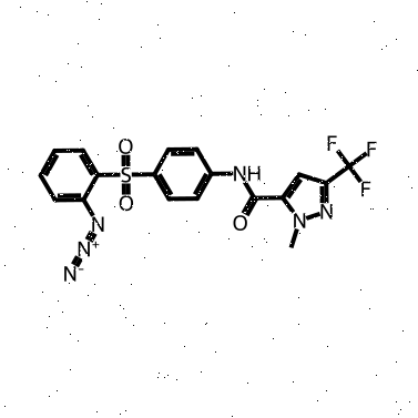 Cn1nc(C(F)(F)F)cc1C(=O)Nc1ccc(S(=O)(=O)c2ccccc2N=[N+]=[N-])cc1